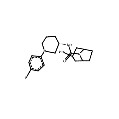 O=C(N[C@H]1CCCN(c2ccc(F)cc2)C1)N1C2CCC1CC(O)C2